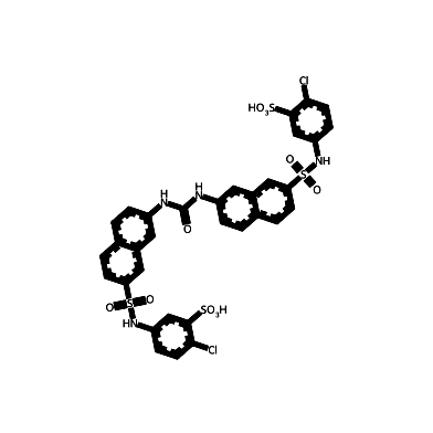 O=C(Nc1ccc2ccc(S(=O)(=O)Nc3ccc(Cl)c(S(=O)(=O)O)c3)cc2c1)Nc1ccc2ccc(S(=O)(=O)Nc3ccc(Cl)c(S(=O)(=O)O)c3)cc2c1